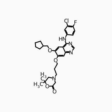 CC1(C)CN(CCCOc2cc3ncnc(Nc4ccc(F)c(Cl)c4)c3cc2OCC2CCCC2)CC(=O)O1